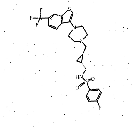 O=S(=O)(NC[C@@H]1C[C@H]1CN1CCN(c2csc3cc(C(F)(F)F)ccc23)CC1)c1ccc(F)cc1